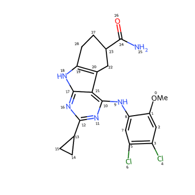 COc1cc(Cl)c(Cl)cc1Nc1nc(C2CC2)nc2[nH]c3c(c12)CC(C(N)=O)CC3